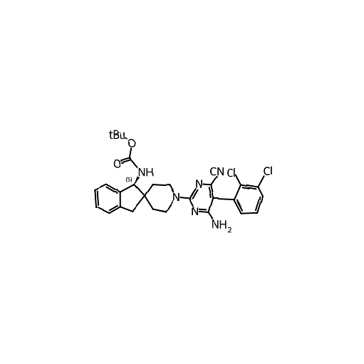 CC(C)(C)OC(=O)N[C@@H]1c2ccccc2CC12CCN(c1nc(N)c(-c3cccc(Cl)c3Cl)c(C#N)n1)CC2